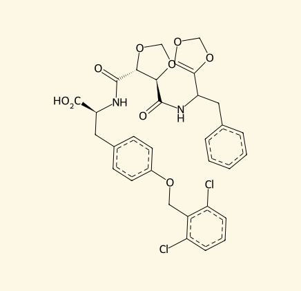 O=C(O)[C@H](Cc1ccc(OCc2c(Cl)cccc2Cl)cc1)NC(=O)[C@@H]1OCO[C@H]1C(=O)NC(Cc1ccccc1)C1=COCO1